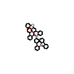 c1ccc(N(c2ccc(-c3ccccc3-n3c4ccccc4c4ccccc43)cc2)c2cc3ccccc3c3ccccc23)c(-c2ccc3c(c2)oc2ccccc23)c1